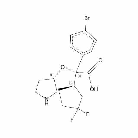 O=C(O)[C@](O[C@H]1CCNC1)(c1ccc(Br)cc1)[C@@H]1CCC(F)(F)C1